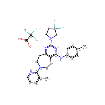 FC1(F)CCN(c2nc3c(c(Nc4ccc(C(F)(F)F)cc4)n2)CCN(c2ncccc2C(F)(F)F)CC3)C1.O=C(O)C(F)(F)F